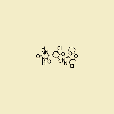 CC(OC1CCCCO1)c1cc(Oc2c(Cl)cc(-c3n[nH]c(=O)[nH]c3=O)cc2Cl)nnc1Cl